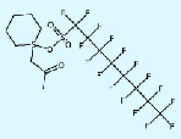 CC(=O)CS1(OS(=O)(=O)C(F)(F)C(F)(F)C(F)(F)C(F)(F)C(F)(F)C(F)(F)C(F)(F)C(F)(F)F)CCCCC1